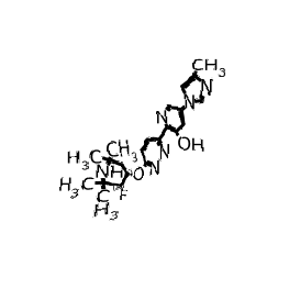 Cc1cn(-c2cnc(-c3ccc(O[C@H]4CC(C)(C)NC(C)(C)[C@H]4F)nn3)c(O)c2)cn1